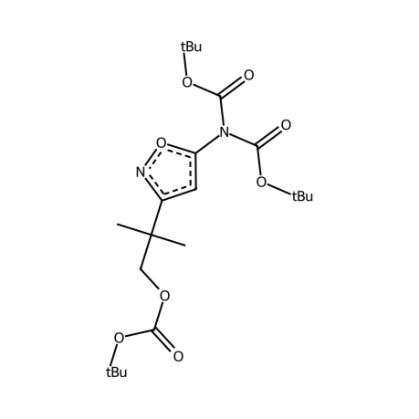 CC(C)(C)OC(=O)OCC(C)(C)c1cc(N(C(=O)OC(C)(C)C)C(=O)OC(C)(C)C)on1